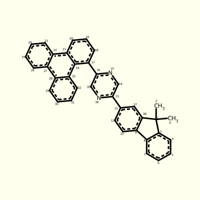 CC1(C)c2ccccc2-c2ccc(-c3cnc(-c4cccc5c6ccccc6c6ccccc6c45)cn3)cc21